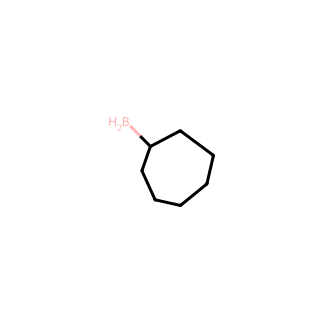 BC1CCCCCC1